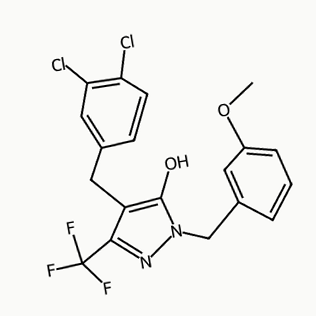 COc1cccc(Cn2nc(C(F)(F)F)c(Cc3ccc(Cl)c(Cl)c3)c2O)c1